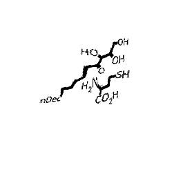 CCCCCCCCCCCCCC=CC(=O)C(O)C(O)CO.N[C@@H](CCS)C(=O)O